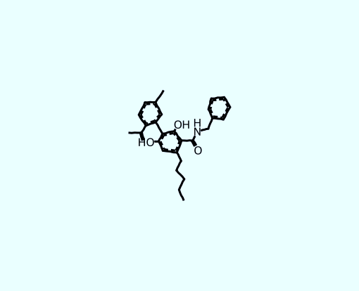 C=C(C)c1ccc(C)cc1-c1c(O)cc(CCCCC)c(C(=O)NCc2ccccc2)c1O